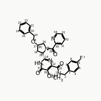 CN(Cc1ccc(F)cc1)C(=O)c1nc([C@@H]2C[C@@H](OCc3ccccc3)CN2C(=O)c2ccccn2)[nH]c(=O)c1O